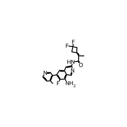 CC(C(=O)Nc1cc2cc(-c3cnccc3C)c(F)c(N)c2cn1)=C1CC(F)(F)C1